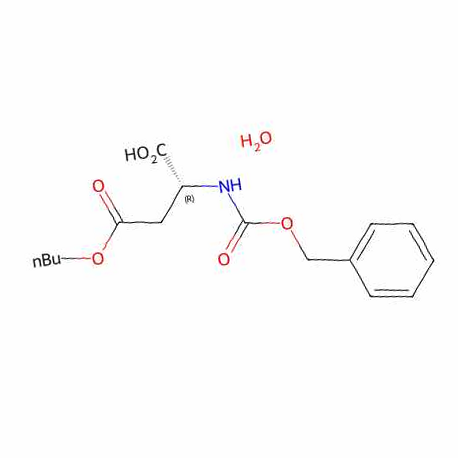 CCCCOC(=O)C[C@@H](NC(=O)OCc1ccccc1)C(=O)O.O